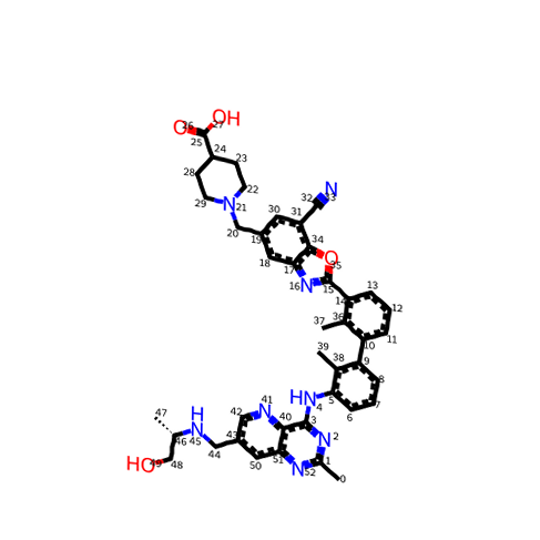 Cc1nc(Nc2cccc(-c3cccc(-c4nc5cc(CN6CCC(C(=O)O)CC6)cc(C#N)c5o4)c3C)c2C)c2ncc(CN[C@@H](C)CO)cc2n1